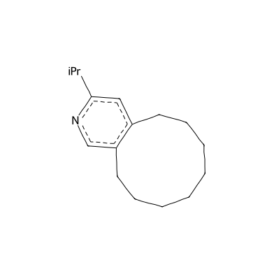 CC(C)c1cc2c(cn1)CCCCCCCC2